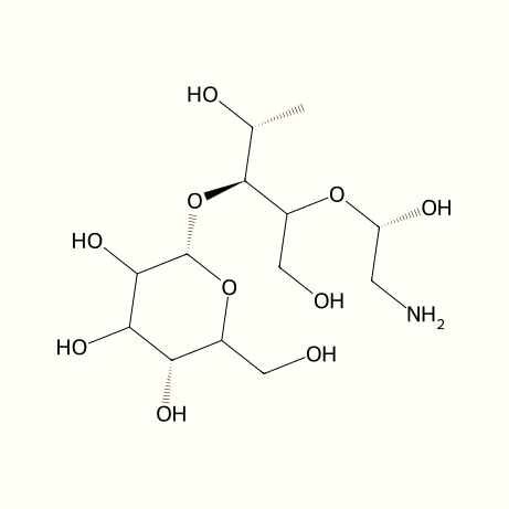 C[C@@H](O)[C@H](O[C@@H]1OC(CO)[C@H](O)C(O)C1O)C(CO)O[C@H](O)CN